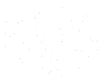 CCCCCCCCOC(=O)c1cc(Br)cc(C(=O)OCCCCCCCC)c1